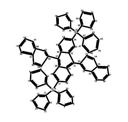 c1ccc([Si](c2ccccc2)(c2ccccc2)c2ccc3c(-c4ccc5ccccc5c4)c4cc([Si](c5ccccc5)(c5ccccc5)c5ccccc5)ccc4c(-c4ccc5ccccc5c4)c3c2)cc1